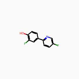 Oc1ccc(-c2ccc(F)cn2)cc1F